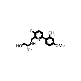 COc1ccc(-c2ccc(F)c(CN[C@@H](CO)C(C)C)n2)c(C)c1